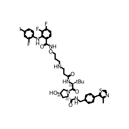 Cc1ncsc1-c1ccc(CNC(=O)[C@@H]2C[C@@H](O)CN2C(=O)[C@@H](NC(=O)CCNCCCONC(=O)c2ccc(F)c(F)c2Nc2ccc(I)cc2F)C(C)(C)C)cc1